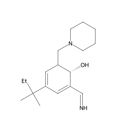 CCC(C)(C)C1=CC(CN2CCCCC2)[C@H](O)C(C=N)=C1